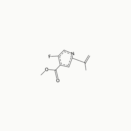 C=C(C)c1cc(C(=O)OC)c(F)cn1